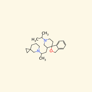 CC(C)N1CCC2(OCc3ccccc32)C(CC(C)N2CCCC3(CC3)C2)C1